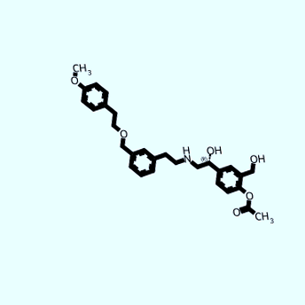 COc1ccc(CCOCc2cccc(CCNC[C@H](O)c3ccc(OC(C)=O)c(CO)c3)c2)cc1